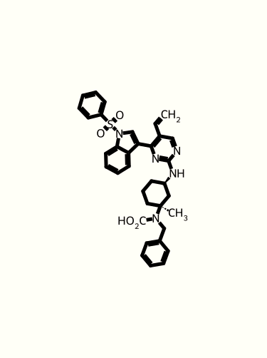 C=Cc1cnc(N[C@@H]2CCC[C@](C)(N(Cc3ccccc3)C(=O)O)C2)nc1-c1cn(S(=O)(=O)c2ccccc2)c2ccccc12